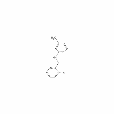 CCc1ccccc1CNc1cc[c]c(C)c1